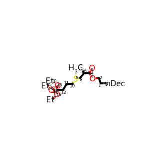 CCCCCCCCCCCCOC(=O)C(C)CSCCC[Si](OCC)(OCC)OCC